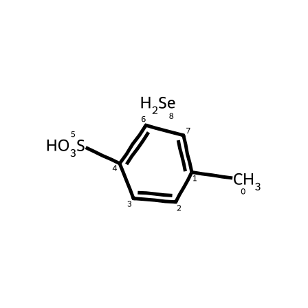 Cc1ccc(S(=O)(=O)O)cc1.[SeH2]